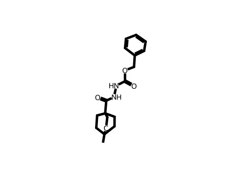 CC12CCC(C(=O)NNC(=O)OCc3ccccc3)(CC1)CC2